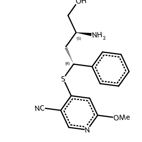 COc1cc(S[C@H](C[C@H](N)CO)c2ccccc2)c(C#N)cn1